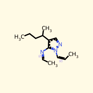 C/C=C\n1ncc(C(C)CCC)c1/N=C\C